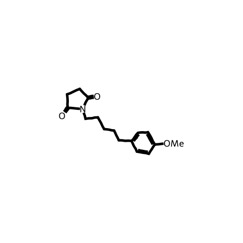 COc1ccc(CCCCCN2C(=O)CCC2=O)cc1